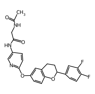 CC(=O)NCC(=O)Nc1ccc(Oc2ccc3c(c2)CCC(c2ccc(F)c(F)c2)O3)nc1